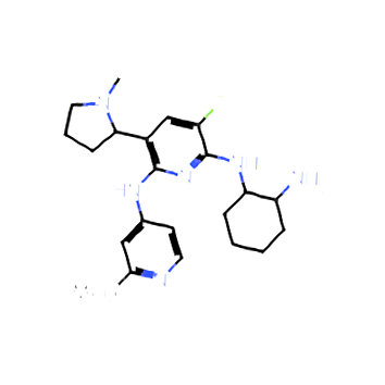 COc1cc(Nc2nc(NC3CCCCC3N)c(F)cc2C2CCCN2C)ccn1